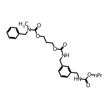 CCCOC(=O)NCc1cccc(CNC(=O)OCCCOC(=O)N(C)Cc2ccccc2)c1